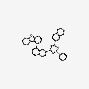 c1ccc(-c2nc(-c3ccc4ccccc4c3)nc(-c3ccc4cccc(-c5cccc6oc7ccccc7c56)c4c3)n2)cc1